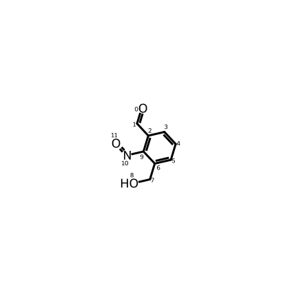 O=Cc1cccc(CO)c1N=O